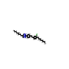 CCCCCCCCc1cnc(-c2ccc(CCc3ccc(CCCCCCCC)c(F)c3)cc2)nc1